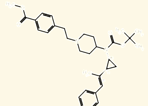 COC(=O)c1ccc(CCN2CCC(N(C(=O)OC(C)(C)C)[C@@H]3C[C@H]3/C(C)=C/c3ccccc3)CC2)cc1